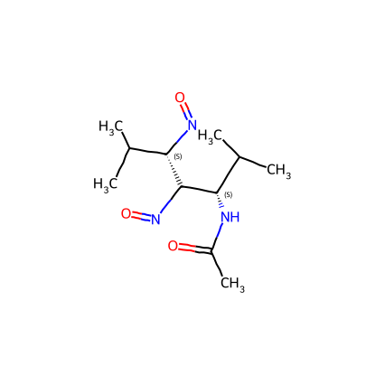 CC(=O)N[C@@H](C(C)C)C(N=O)[C@@H](N=O)C(C)C